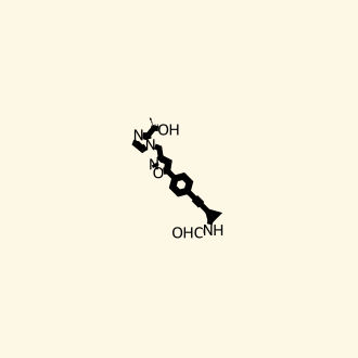 C[C@H](O)c1nccn1Cc1cc(-c2ccc(C#CC3CC3NC=O)cc2)on1